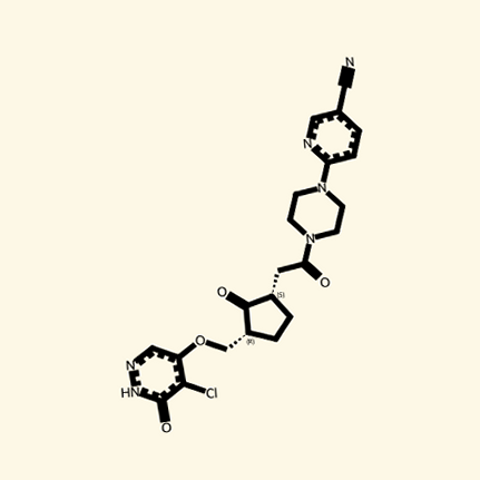 N#Cc1ccc(N2CCN(C(=O)C[C@@H]3CC[C@H](COc4cn[nH]c(=O)c4Cl)C3=O)CC2)nc1